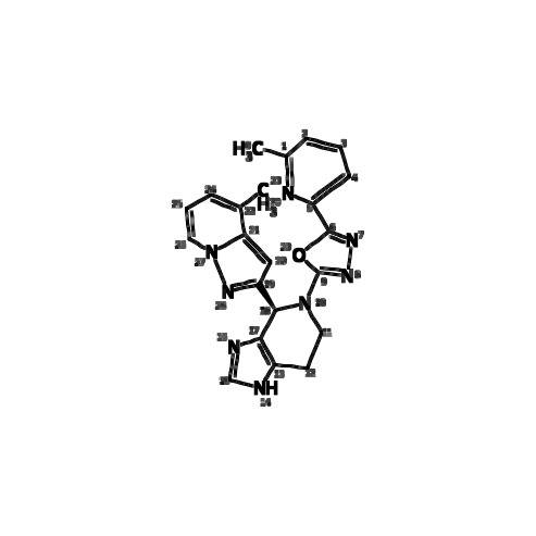 Cc1cccc(-c2nnc(N3CCc4[nH]cnc4[C@H]3c3cc4c(C)cccn4n3)o2)n1